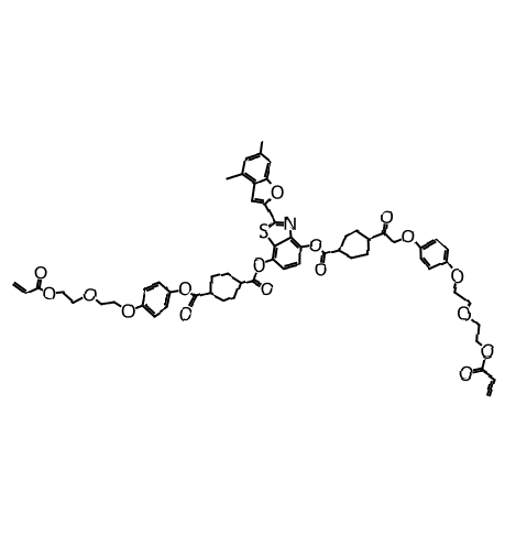 C=CC(=O)OCCOCCOc1ccc(OCC(=O)C2CCC(C(=O)Oc3ccc(OC(=O)C4CCC(C(=O)Oc5ccc(OCCOCCOC(=O)C=C)cc5)CC4)c4sc(-c5cc6c(C)cc(C)cc6o5)nc34)CC2)cc1